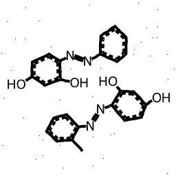 Cc1ccccc1N=Nc1ccc(O)cc1O.Oc1ccc(N=Nc2ccccc2)c(O)c1